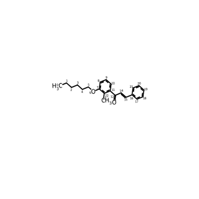 CCCCCCOc1cccc(C(=O)/C=C/c2ccccc2)c1C